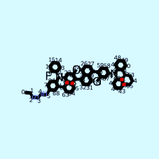 C=C/C=C\C=C\c1cc(F)c(N(c2ccccc2)c2ccc3c(c2)Oc2ccc4c5c(ccc-3c25)Oc2cc(N(c3ccccc3)c3ccccc3C3C=CC=CC3)ccc2-4)c(-c2ccccc2)c1